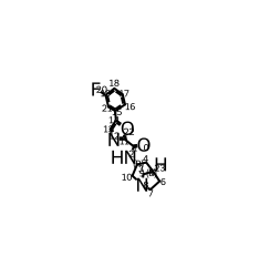 O=C(N[C@@H]1C[C@H]2CCN(C2)C1)c1ncc(-c2cccc(F)c2)o1